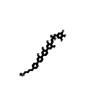 CCCCCc1ccc(-c2ccc(-c3ccc(-c4cc(F)c(/C=C/C(F)(F)Oc5cc(F)c(F)c(F)c5)c(F)c4)c(F)c3)c(F)c2)cc1